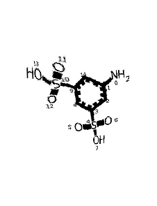 Nc1cc(S(=O)(=O)O)cc(S(=O)(=O)O)c1